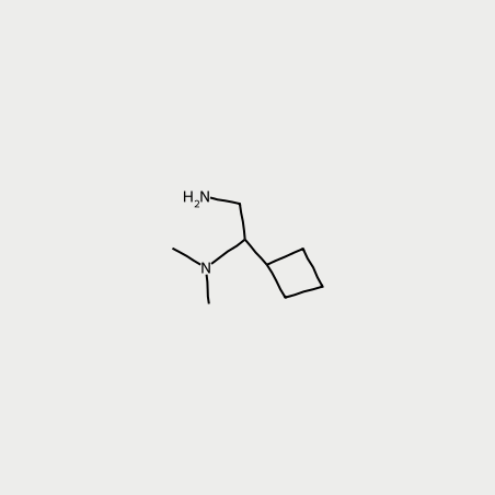 CN(C)C(CN)C1CCC1